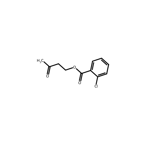 CC(=O)CCOC(=O)c1ccccc1Cl